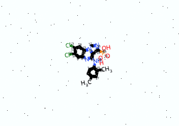 Cc1ccc(Nc2nc3cc(Cl)c(Cl)cc3n3cnc(P(=O)(O)O)c23)c(C)c1